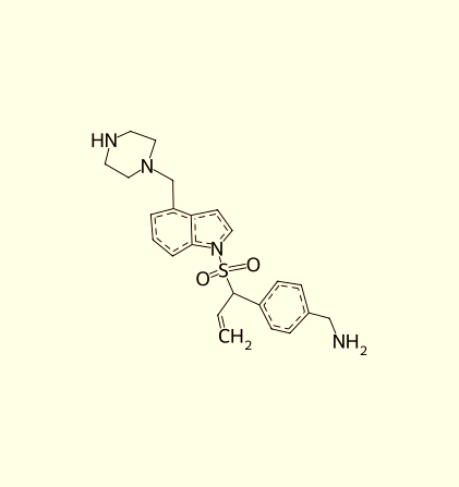 C=CC(c1ccc(CN)cc1)S(=O)(=O)n1ccc2c(CN3CCNCC3)cccc21